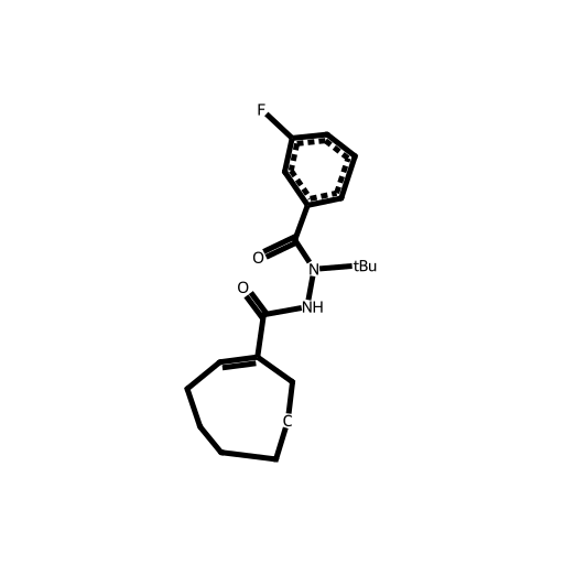 CC(C)(C)N(NC(=O)C1=CCCCCCC1)C(=O)c1cccc(F)c1